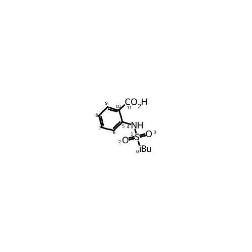 CCC(C)S(=O)(=O)Nc1ccccc1C(=O)O